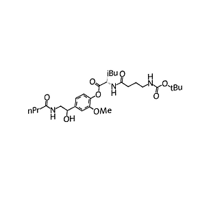 CCCC(=O)NCC(O)c1ccc(OC(=O)[C@@H](NC(=O)CCCNC(=O)OC(C)(C)C)[C@@H](C)CC)c(OC)c1